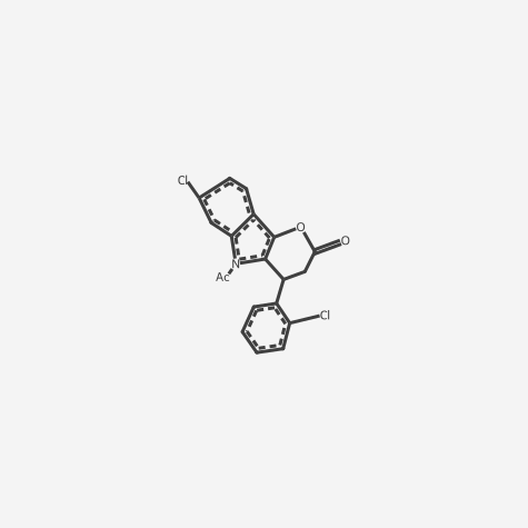 CC(=O)n1c2c(c3ccc(Cl)cc31)OC(=O)CC2c1ccccc1Cl